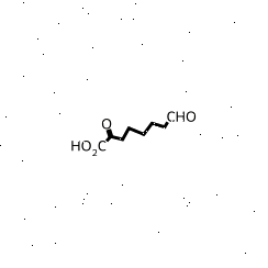 O=CCCCCCC(=O)C(=O)O